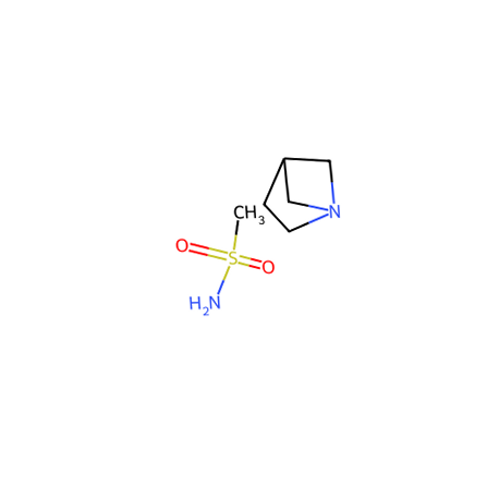 C1CN2CC1C2.CS(N)(=O)=O